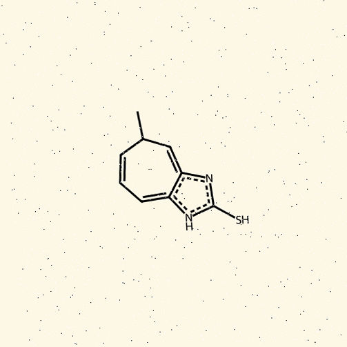 CC1C=CC=c2[nH]c(S)nc2=C1